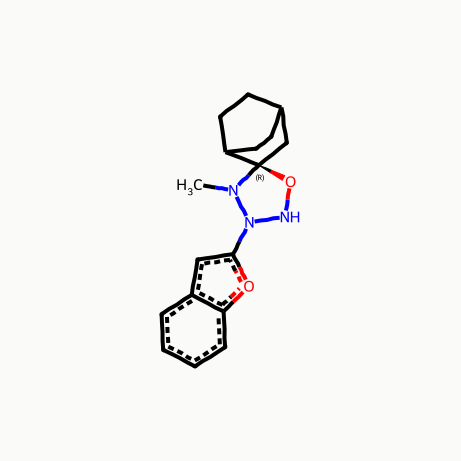 CN1N(c2cc3ccccc3o2)NO[C@@]12CC1CCC2CC1